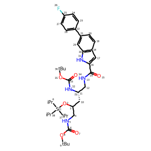 CC(C)[Si](OC(CNC(=O)OC(C)(C)C)C[C@@H](CNC(=O)c1cc2ccc(-c3ccc(F)cc3)cc2[nH]1)NC(=O)OC(C)(C)C)(C(C)C)C(C)C